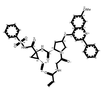 C=CC(=O)NCC(=O)N1CC(Oc2cc(-c3ccccc3)nc3cc(OC)ccc23)C[C@H]1C(=O)N[C@]1(C(=O)NS(=O)(=O)c2ccccc2)C[C@H]1C=C